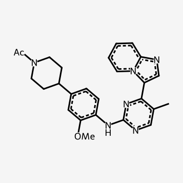 COc1cc(C2CCN(C(C)=O)CC2)ccc1Nc1ncc(C)c(-c2cnc3ccccn23)n1